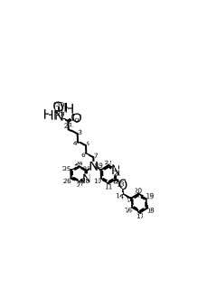 O=C(CCCCCCN(c1ccc(OCc2ccccc2)nc1)c1ccccn1)NO